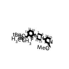 COCc1cc(N2CCN(c3cccc(CO[Si](C)(C)C(C)(C)C)c3F)CC2)ccn1